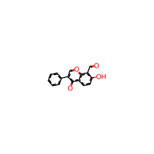 O=Cc1c(O)ccc2c(=O)c(-c3ccccc3)coc12